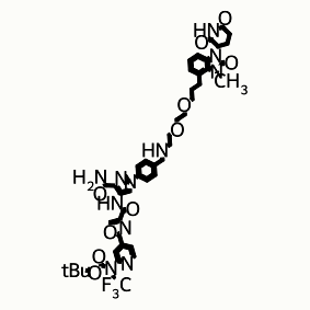 Cn1c(=O)n([C@@H]2CCC(=O)NC2=O)c2cccc(CCCOCCOCCNCc3ccc(-n4cc(NC(=O)c5coc(-c6ccnc(N(CC(F)(F)F)C(=O)OC(C)(C)C)c6)n5)c(C(N)=O)n4)cc3)c21